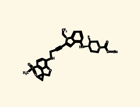 CC(C)(C)OC(=O)N1CC[C@@H](Nc2cccc3c2cc(C#CCNc2ccc(S(C)(=O)=O)c4c2OCC42CC2)n3CC(F)(F)F)[C@@H](F)C1